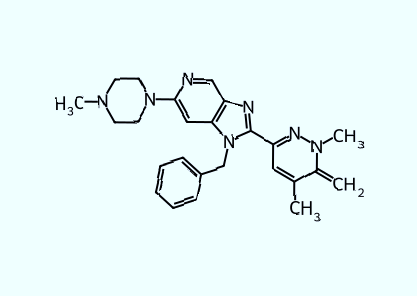 C=C1C(C)=CC(c2nc3cnc(N4CCN(C)CC4)cc3n2Cc2ccccc2)=NN1C